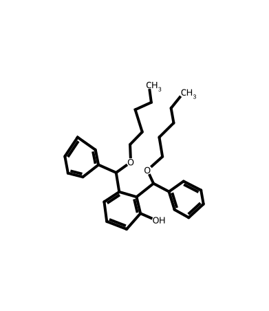 CCCCCOC(c1ccccc1)c1cccc(O)c1C(OCCCCC)c1ccccc1